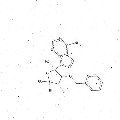 CCC1(CC)O[C@@](O)(c2ccc3c(N)ncnn23)[C@H](OCc2ccccc2)[C@@H]1C